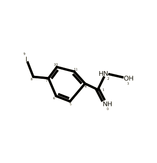 N=C(NO)c1ccc(CI)cc1